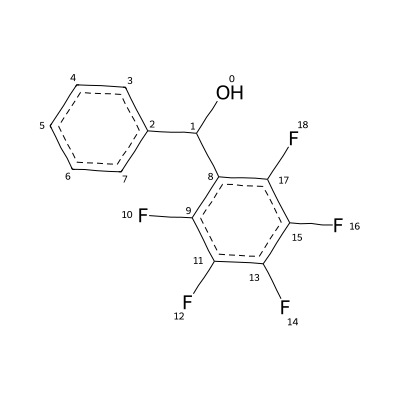 OC(c1ccccc1)c1c(F)c(F)c(F)c(F)c1F